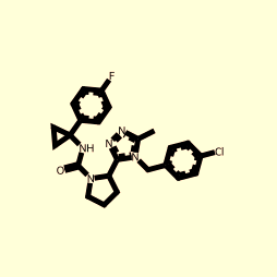 Cc1nnc(C2CCCN2C(=O)NC2(c3ccc(F)cc3)CC2)n1Cc1ccc(Cl)cc1